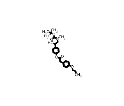 CCCOc1ccc(CC(=O)Oc2ccc(C(O)CN(C)C(=O)OC(C)(C)C)cc2)cc1